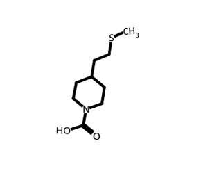 CSCCC1CCN(C(=O)O)CC1